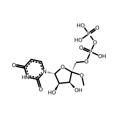 CO[C@]1(COP(=O)(O)OP(=O)(O)O)O[C@@H](n2ccc(=O)[nH]c2=O)[C@H](O)[C@@H]1O